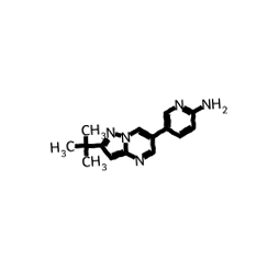 CC(C)(C)c1cc2ncc(-c3ccc(N)nc3)cn2n1